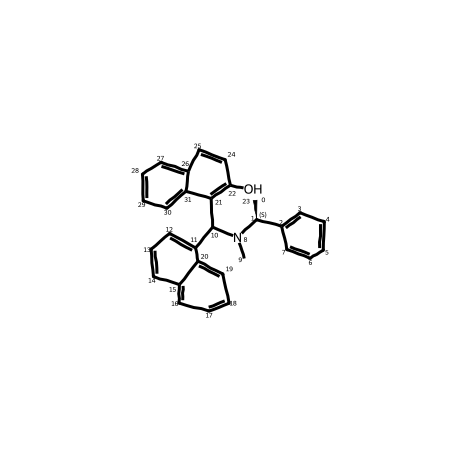 C[C@@H](c1ccccc1)N(C)C(c1cccc2ccccc12)c1c(O)ccc2ccccc12